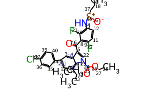 C\C=C(/C=c1/c(C(=O)c2c(F)ccc(N[S+]([O-])CCC)c2F)cn(C(=O)OCC)/c1=C(/C)CC)c1ccc(Cl)cc1